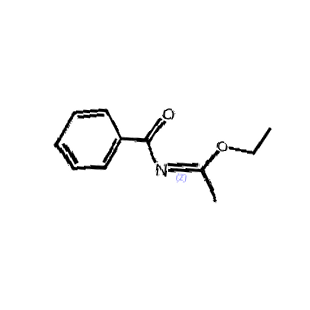 CCO/C(C)=N\C(=O)c1ccccc1